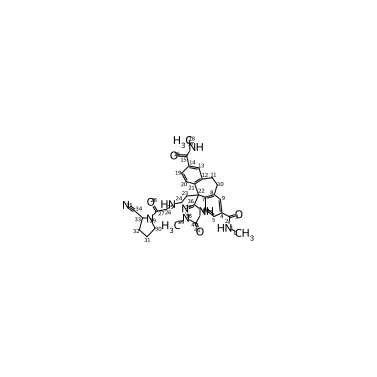 CNC(=O)c1ccc2c(c1)CCc1cc(C(=O)NC)ccc1C2(CCNCC(=O)N1CCCC1C#N)c1nn(C)c(=O)[nH]1